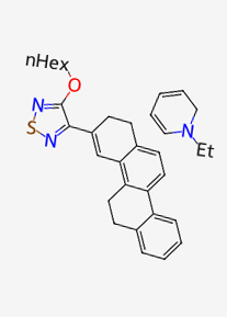 CCCCCCOc1nsnc1C1=Cc2c(ccc3c2CCc2ccccc2-3)CC1.CCN1C=CC=CC1